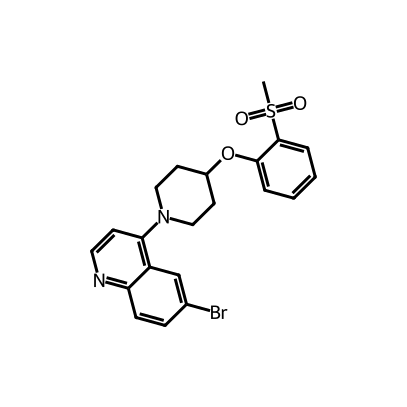 CS(=O)(=O)c1ccccc1OC1CCN(c2ccnc3ccc(Br)cc23)CC1